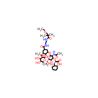 CCOCC(C)(C)C(=O)NCCNC(=O)C1CC(O[C@@H]2O[C@@H](CO)C(O)C(O[C@@H](CC3CCCCC3)C(=O)O)C2NC(C)=O)C(OC2OC(C)C(O)C(O)C2O)[C@H](CC)C1